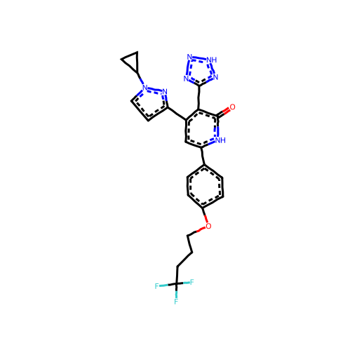 O=c1[nH]c(-c2ccc(OCCCC(F)(F)F)cc2)cc(-c2ccn(C3CC3)n2)c1-c1nn[nH]n1